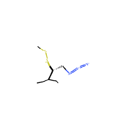 CSS[C@H](CN=[N+]=[N-])C(C)C